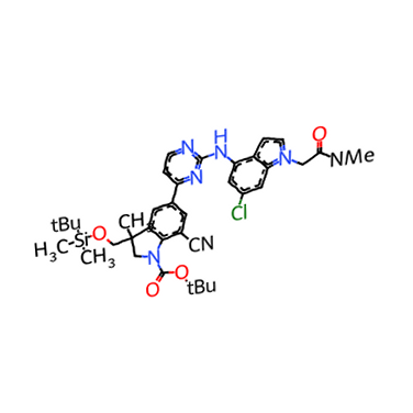 CNC(=O)Cn1ccc2c(Nc3nccc(-c4cc(C#N)c5c(c4)C(C)(CO[Si](C)(C)C(C)(C)C)CN5C(=O)OC(C)(C)C)n3)cc(Cl)cc21